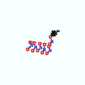 O=N[O-].O=N[O-].O=N[O-].O=N[O-].O=N[O-].O=N[O-].[Na+].[Nb+5]